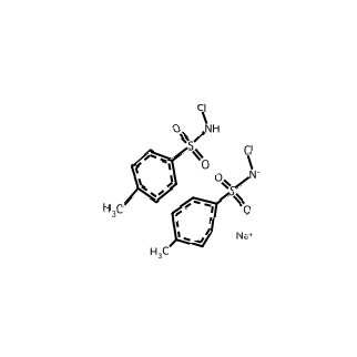 Cc1ccc(S(=O)(=O)NCl)cc1.Cc1ccc(S(=O)(=O)[N-]Cl)cc1.[Na+]